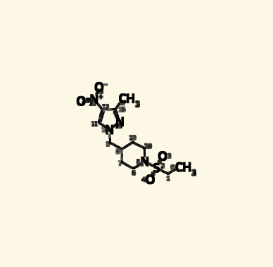 CCS(=O)(=O)N1CCC(Cn2cc([N+](=O)[O-])c(C)n2)CC1